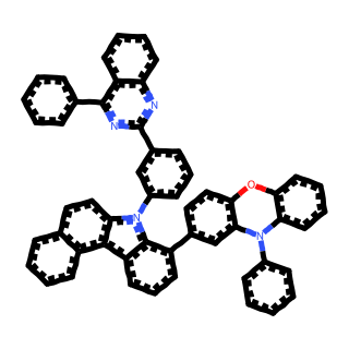 c1ccc(-c2nc(-c3cccc(-n4c5ccc6ccccc6c5c5cccc(-c6ccc7c(c6)N(c6ccccc6)c6ccccc6O7)c54)c3)nc3ccccc23)cc1